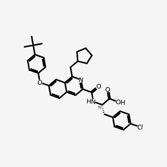 CC(C)(C)c1ccc(Oc2ccc3cc(C(=O)N[C@@H](Cc4ccc(Cl)cc4)C(=O)O)nc(CC4CCCC4)c3c2)cc1